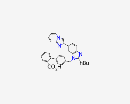 CCCCc1nc2ccc(-c3cn4ccccc4n3)cc2n1Cc1ccc(-c2ccccc2C(=O)O)cc1